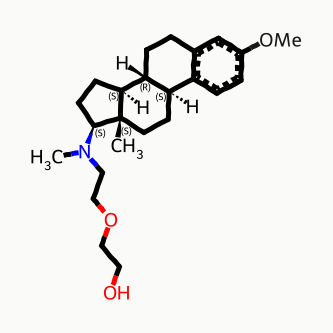 COc1ccc2c(c1)CC[C@@H]1[C@@H]2CC[C@]2(C)[C@@H](N(C)CCOCCO)CC[C@@H]12